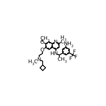 COc1cc2nc(C)cc(NC(C)c3cc(N)cc(C(F)(F)F)c3)c2cc1OCCN(C)CC1CCC1